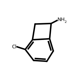 NC1Cc2c(Cl)cccc21